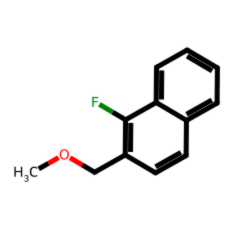 COCc1ccc2ccccc2c1F